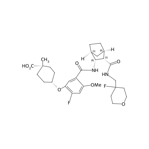 COc1cc(F)c(O[C@H]2CC[C@@](C)(C(=O)O)CC2)cc1C(=O)N[C@@H]1[C@H]2CC[C@H](C2)[C@@H]1C(=O)NCC1(F)CCOCC1